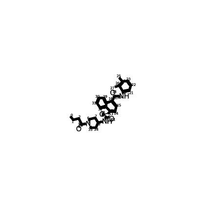 CCCC(=O)N1CCC(NS(=O)(=O)c2ccc(C(=O)Nc3cccc(C)c3C)c3ccccc23)CC1